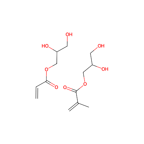 C=C(C)C(=O)OCC(O)CO.C=CC(=O)OCC(O)CO